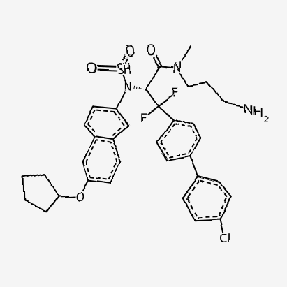 CN(CCCN)C(=O)[C@@H](N(c1ccc2cc(OC3CCCC3)ccc2c1)[SH](=O)=O)C(F)(F)c1ccc(-c2ccc(Cl)cc2)cc1